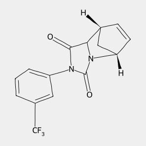 O=C1C2[C@@H]3C=C[C@@H](C3)N2C(=O)N1c1cccc(C(F)(F)F)c1